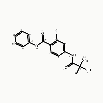 CC(O)(C(=O)Nc1ccc(C(=O)Oc2cccnc2)c(F)c1)C(F)(F)F